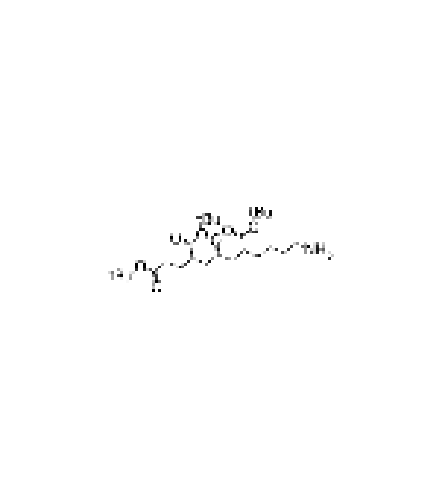 CC(C)(C)OC(=O)CC[C@H](CC(=O)CC(CCCCN)C(=O)OC(C)(C)C)C(=O)OC(C)(C)C